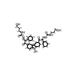 CC(C)n1c2ccc(C(=O)/C(=N/OC(=O)NCCCO)c3ccccc3)cc2c2cc(C(=O)/C(=N/OC(=O)NCCCO)c3ccccc3)ccc21